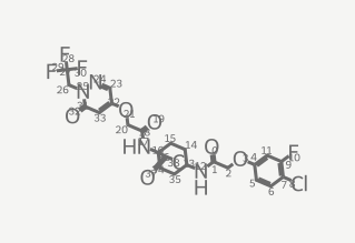 O=C(COc1ccc(Cl)c(F)c1)NC12CCC(NC(=O)COc3cnn(CC(F)(F)F)c(=O)c3)(CC1)C(=O)C2